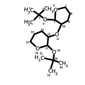 CC(C)(C)OC1OCCCC1OC1CCCOC1OC(C)(C)C